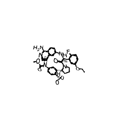 CCOc1ccc(F)c([C@H](Nc2ccc3c(N)nccc3c2)C(=O)N2CCC[C@@H]2c2cc(NC(=O)OC)ccc2[SH](=O)=O)c1